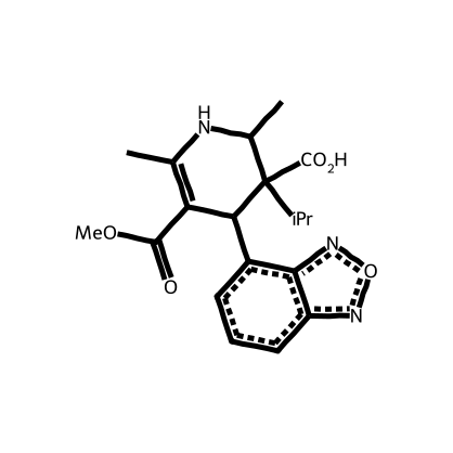 COC(=O)C1=C(C)NC(C)C(C(=O)O)(C(C)C)C1c1cccc2nonc12